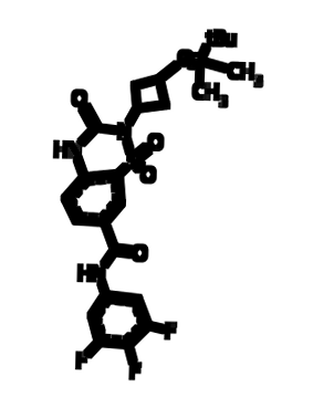 CC(C)(C)[Si](C)(C)OC1CC(N2C(=O)Nc3ccc(C(=O)Nc4cc(F)c(F)c(F)c4)cc3S2(=O)=O)C1